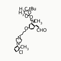 Cc1c(Cl)cccc1N1CCN(CCCCOc2ccc(/C=C\C=O)c(N(C)COC(=O)OC(C)(C)C(C)(C)C)c2)CC1